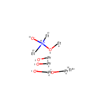 CC(C)[O-].CC(C)[O-].CC(C)[O-].CC(C)[O-].CCO[N+]([O-])(CC)CC.[Ti+4]